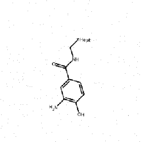 CCCCCCCCNC(=O)c1ccc(O)c(N)c1